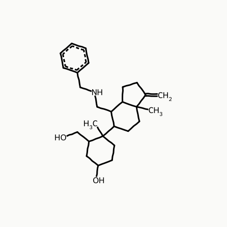 C=C1CCC2C(CNCc3ccccc3)C(C3(C)CCC(O)CC3CO)CCC12C